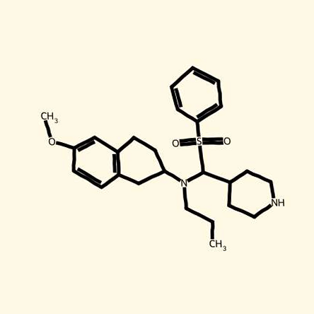 CCCN(C1CCc2cc(OC)ccc2C1)C(C1CCNCC1)S(=O)(=O)c1ccccc1